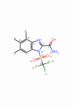 Cc1cc2c(nc(C(N)=O)n2S(=O)(=O)C(F)(F)F)c(C)c1C